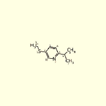 CSc1ccc(C(C)C)nc1